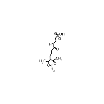 COC(C)C(CCCC(=O)NCCS(=O)(=O)O)C(C)=O